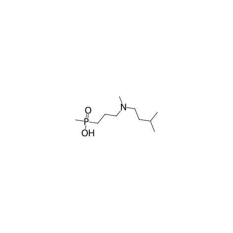 CC(C)CCN(C)CCCP(C)(=O)O